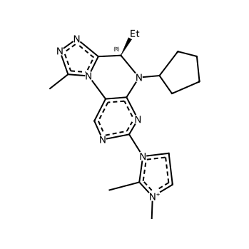 CC[C@@H]1c2nnc(C)n2-c2cnc(-n3cc[n+](C)c3C)nc2N1C1CCCC1